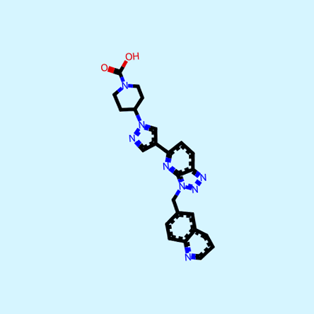 O=C(O)N1CCC(n2cc(-c3ccc4nnn(Cc5ccc6ncccc6c5)c4n3)cn2)CC1